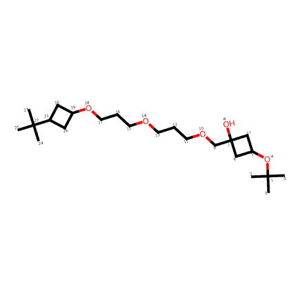 CC(C)(C)OC1CC(O)(COCCCOCCCOC2CC(C(C)(C)C)C2)C1